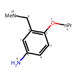 CCCOc1ccc(N)cc1CNC